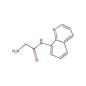 NCC(=O)Nc1cccc2cccnc12